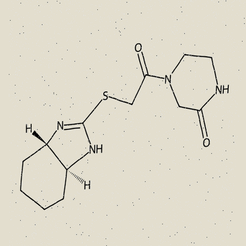 O=C1CN(C(=O)CSC2=N[C@H]3CCCC[C@@H]3N2)CCN1